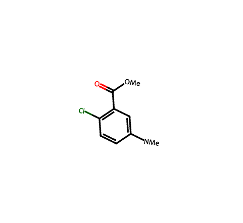 CNc1ccc(Cl)c(C(=O)OC)c1